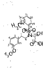 COc1cccc(CCN(C(C)C(=O)O)S(=O)(=O)c2ccccc2C)c1